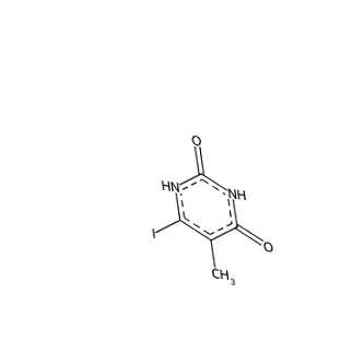 Cc1c(I)[nH]c(=O)[nH]c1=O